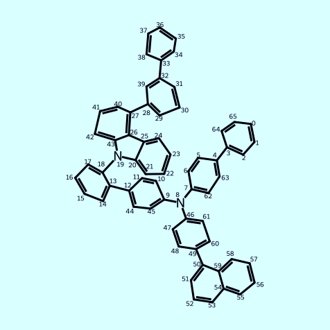 c1ccc(-c2ccc(N(c3ccc(-c4ccccc4-n4c5ccccc5c5c(-c6cccc(-c7ccccc7)c6)cccc54)cc3)c3ccc(-c4cccc5ccccc45)cc3)cc2)cc1